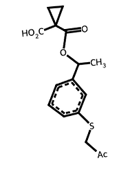 CC(=O)CSc1cccc(C(C)OC(=O)C2(C(=O)O)CC2)c1